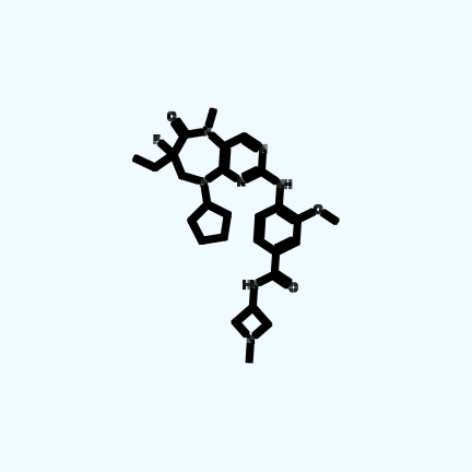 CCC1(F)CN(C2CCCC2)c2nc(Nc3ccc(C(=O)NC4CN(C)C4)cc3OC)ncc2N(C)C1=O